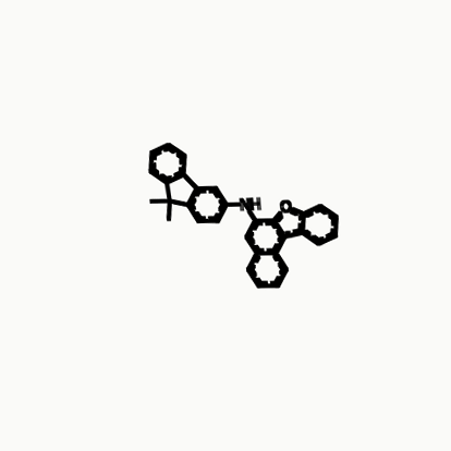 CC1(C)c2ccccc2-c2cc(Nc3cc4ccccc4c4c3oc3ccccc34)ccc21